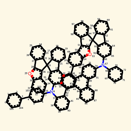 c1ccc(-c2ccc(N(c3ccc4c(c3)C3(c5ccccc5-4)c4ccccc4-c4oc5ccccc5c43)c3ccccc3-c3ccc(-c4ccc5c6c(oc5c4)C4(c5ccccc5-c5ccc(N(c7ccccc7)c7ccc8c9ccccc9c9ccccc9c8c7)cc54)c4ccccc4-6)cc3)cc2)cc1